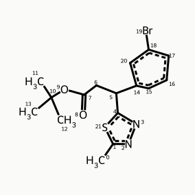 Cc1nnc(C(CC(=O)OC(C)(C)C)c2cccc(Br)c2)s1